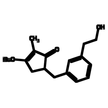 CC1=C(OCC(C)C)CC(Cc2cccc(CCO)c2)C1=O